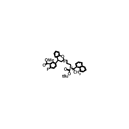 COC(=O)c1cc(C2C[C@H](CCCN(C(=O)OC(C)(C)C)[C@H](C)c3cccc4ccccc34)Oc3ccccc32)ccc1F